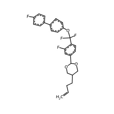 C=CCCC1COC(c2ccc(C(F)(F)Oc3ccc(-c4ccc(F)cc4)cc3)c(F)c2)OC1